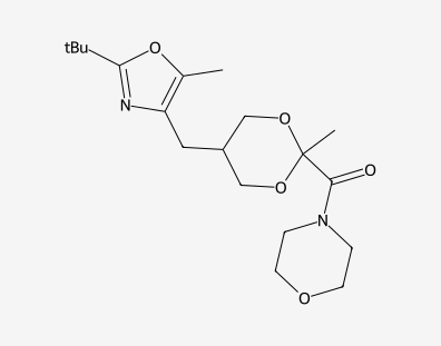 Cc1oc(C(C)(C)C)nc1CC1COC(C)(C(=O)N2CCOCC2)OC1